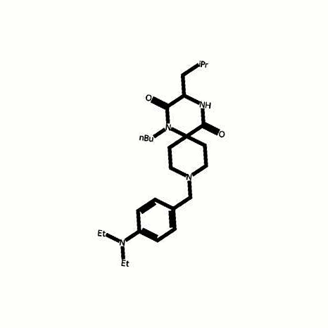 CCCCN1C(=O)C(CC(C)C)NC(=O)C12CCN(Cc1ccc(N(CC)CC)cc1)CC2